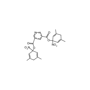 CC1=CC(OC(=O)c2cncc(C(=O)OC3([N+](=O)[O-])C=C(C)CC(C)=C3)c2)([N+](=O)[O-])C=C(C)C1